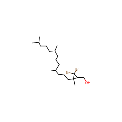 CC(C)CCCC(C)CCCC(C)CCCC1(C)C(CO)C1(Br)Br